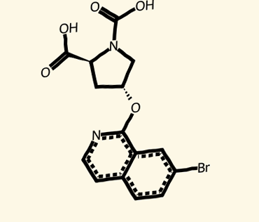 O=C(O)[C@@H]1C[C@@H](Oc2nccc3ccc(Br)cc23)CN1C(=O)O